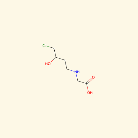 O=C(O)CNCCC(O)CCl